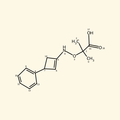 CC(C)(ONC1=CC(c2ccccc2)C1)C(=O)O